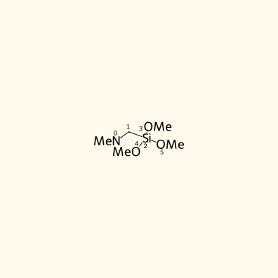 [CH2]NC[Si](OC)(OC)OC